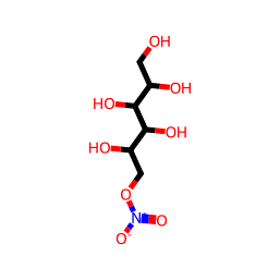 O=[N+]([O-])OCC(O)C(O)C(O)C(O)CO